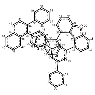 c1ccc(-c2nc(-c3ccccc3)nc(-c3cccc4oc5cccc(-c6cccc7nc(-c8c(-c9ccccc9)ccc9ccccc89)oc67)c5c34)n2)cc1